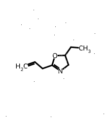 C=CCC1=NCC(CC)O1